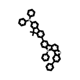 CC1(C)c2cc(-c3ccc4c(c3)c3ccc5sc6ccc(-c7ccccc7)cc6c5c3n4-c3ccccc3)ccc2-c2ccc(N(c3ccccc3)c3ccccc3)cc21